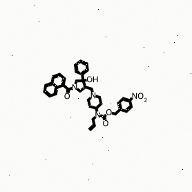 C=CCN(C(=O)OCc1ccc([N+](=O)[O-])cc1)C1CCN(CC2CN(C(=O)c3cccc4ccccc34)CC2(O)c2ccccc2)CC1